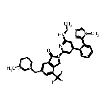 CCNc1cc(-c2ccccc2-c2nncn2C)cc(N2Cc3c(cc(CN4CCC[C@H](C)C4)cc3C(F)(F)F)C2=O)n1